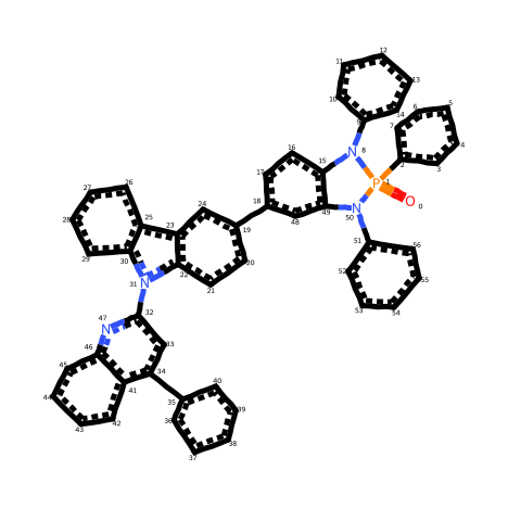 O=P1(c2ccccc2)N(c2ccccc2)c2ccc(-c3ccc4c(c3)c3ccccc3n4-c3cc(-c4ccccc4)c4ccccc4n3)cc2N1c1ccccc1